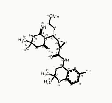 COCC[C@H]([C@@H]1C[C@H]1C(=O)NC1CC(C)(C)Oc2ccc(F)cc21)N1C(=N)NC(C)(C)CC1=O